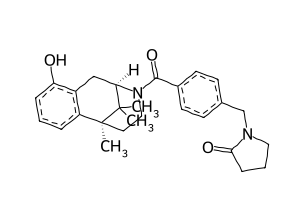 CC1(C)[C@H]2Cc3c(O)cccc3[C@]1(C)CCN2C(=O)c1ccc(CN2CCCC2=O)cc1